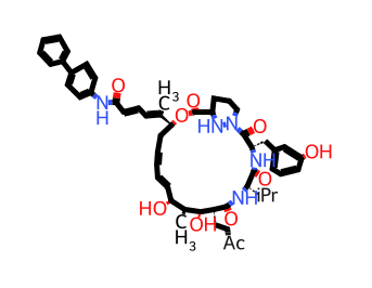 CC(=O)CC[C@H]1C(=O)N[C@@H](C(C)C)C(=O)N[C@@H](Cc2cccc(O)c2)C(=O)N2CCCC(N2)C(=O)O[C@H](/C(C)=C/C=C/C(=O)Nc2ccc(-c3ccccc3)cc2)C/C=C/C=C/[C@H](O)[C@H](C)[C@H]1O